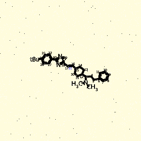 CN(C)C(CCc1ccccc1)C1CCC(/C=C/c2nc(-c3ccc(C(C)(C)C)cc3)no2)CC1